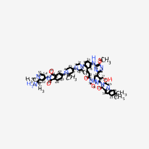 COc1ncc(-c2ccnc(N3CCn4c(cc5c4CC(C)(C)C5)C3=O)c2CO)nc1Nc1ccc(N2CCN(C3CCN(c4ccc5c(c4)C(=O)N(c4ccnc(C(C)(C)N)c4)C5=O)[C@@H](C)C3)C[C@@H]2C)c(C=CC(=O)NC=O)c1